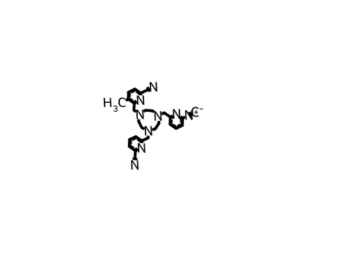 [C-]#[N+]c1cccc(CN2CCN(Cc3cccc(C#N)n3)CCN(Cc3nc(C#N)ccc3C)CC2)n1